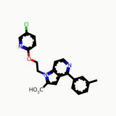 Cc1cccc(-c2nccc3c2cc(C(=O)O)n3CCOc2ccc(Cl)cn2)c1